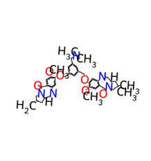 C=C1C[C@H]2C=Nc3cc(OCc4cc(COc5cc6c(cc5OC)C(=O)N5CC(C)(C)C[C@H]5C=N6)cc(CN(C)C)c4)c(OC)cc3C(=O)N2C1